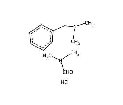 CN(C)C=O.CN(C)Cc1ccccc1.Cl